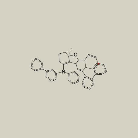 C[C@@]12CC=CC(N(c3ccccc3)c3cccc(-c4ccccc4)c3)=C1C1C=C(c3ccccc3-c3ccccc3)C3C=CC=CC3C1O2